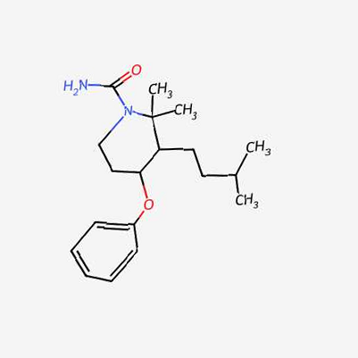 CC(C)CCC1C(Oc2ccccc2)CCN(C(N)=O)C1(C)C